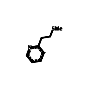 CSCCc1[c]cccn1